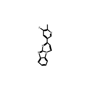 Cc1ncc(-c2ccn3c(n2)nc2ccccc23)cc1F